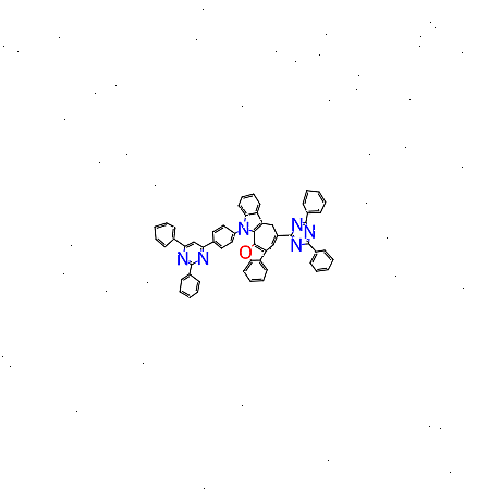 C1=C(c2nc(-c3ccccc3)nc(-c3ccccc3)n2)Cc2c(n(-c3ccc(-c4cc(-c5ccccc5)nc(-c5ccccc5)n4)cc3)c3ccccc23)-c2oc3ccccc3c21